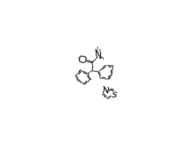 CN(C)C(=O)C(c1ccccc1)c1ccccc1.c1cscn1